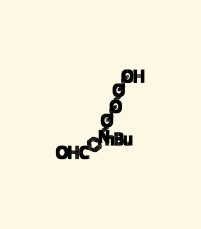 CCCCN(CCOCCOCCOCCO)c1ccc(C=O)cc1